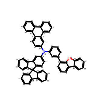 c1cc(-c2cccc3c2oc2ccccc23)cc(N(c2ccc3c(c2)-c2ccccc2C32c3ccccc3-c3ccccc32)c2ccc3c4ccccc4c4ccccc4c3c2)c1